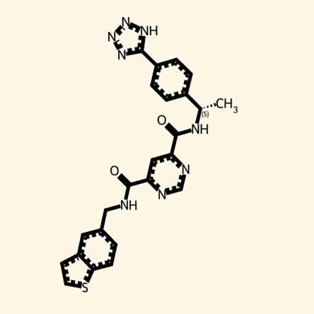 C[C@H](NC(=O)c1cc(C(=O)NCc2ccc3sccc3c2)ncn1)c1ccc(-c2nnn[nH]2)cc1